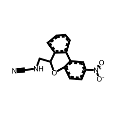 N#CNCC1Oc2ccc([N+](=O)[O-])cc2-c2ccccc21